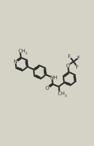 Cc1cc(-c2ccc(NC(=O)C(C)c3cccc(OC(F)(F)F)c3)cc2)ccn1